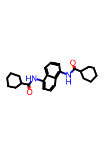 O=C(Nc1cccc2c(NC(=O)C3CCCCC3)cccc12)C1CCCCC1